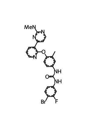 CNc1nccc(-c2cccnc2Oc2ccc(NC(=O)Nc3ccc(Br)c(F)c3)cc2C)n1